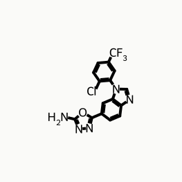 Nc1nnc(-c2ccc3ncn(-c4cc(C(F)(F)F)ccc4Cl)c3c2)o1